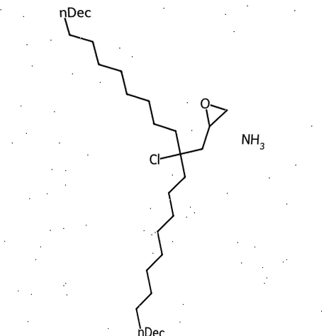 CCCCCCCCCCCCCCCCCCC(Cl)(CCCCCCCCCCCCCCCCCC)CC1CO1.N